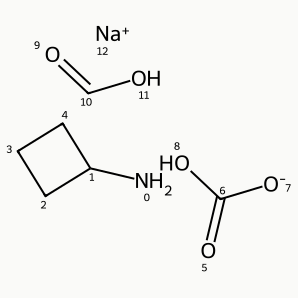 NC1CCC1.O=C([O-])O.O=CO.[Na+]